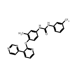 Cc1cc(NC(=O)Nc2cccc(C(F)(F)F)c2)ccc1Oc1ncccc1-c1ccncn1